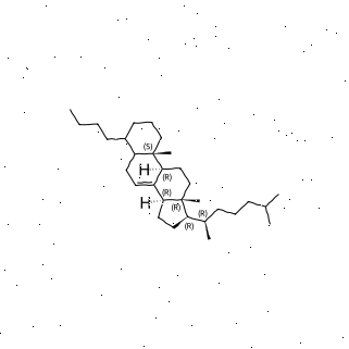 CCCCC1CCC[C@@]2(C)C1CC=C1[C@@H]3CC[C@H]([C@H](C)CCCC(C)C)[C@@]3(C)CC[C@@H]12